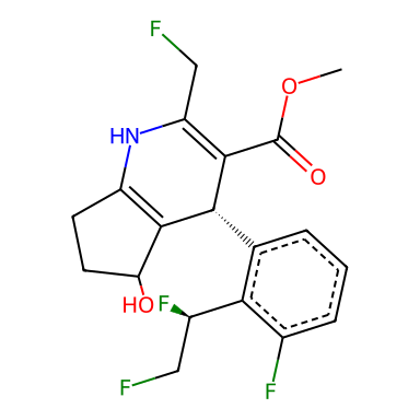 COC(=O)C1=C(CF)NC2=C(C(O)CC2)[C@H]1c1cccc(F)c1[C@H](F)CF